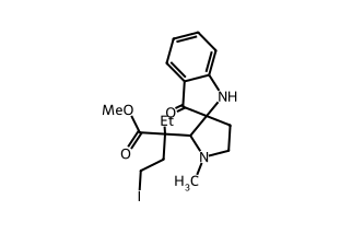 CCC(CCI)(C(=O)OC)C1N(C)CCC12Nc1ccccc1C2=O